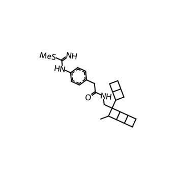 CSC(=N)Nc1ccc(CC(=O)NCC2(C3CC4CCC43)C(C)C3C4CCC4C32)cc1